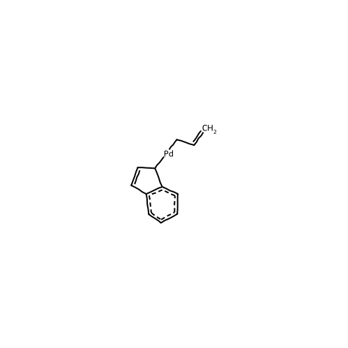 C=C[CH2][Pd][CH]1C=Cc2ccccc21